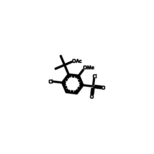 COc1c(S(=O)(=O)Cl)ccc(Cl)c1C(C)(C)OC(C)=O